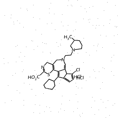 CC1CCCN(CCN2C=C3C(=C(C4CCCCC4)C4=CC=C(Cl)C34)C3=C(CN=C(C(=O)O)S3)C2)C1.Cl.Cl